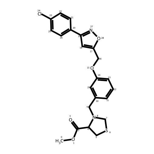 COC(=O)C1CSCN1Cc1cccc(OCc2cc(-c3ccc(Cl)cc3)no2)c1